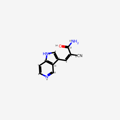 N#C/C(=C/c1c[nH]c2ccncc12)C(N)=O